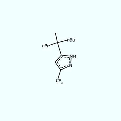 CCCCC(C)(CCC)c1cc(C(F)(F)F)n[nH]1